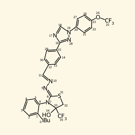 CCC(C)c1ccccc1N1C(=NN=Cc2ccc(-c3ncn(-c4ccc(OC(F)(F)F)cc4)n3)cc2)SCC1(O)C(F)(F)F